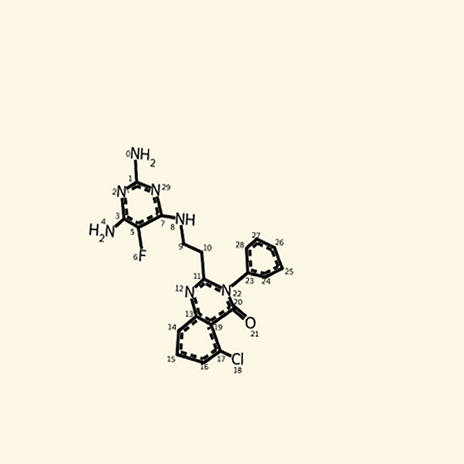 Nc1nc(N)c(F)c(NCCc2nc3cccc(Cl)c3c(=O)n2-c2ccccc2)n1